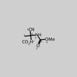 COC(=O)NC(C)(C#N)C(=O)O